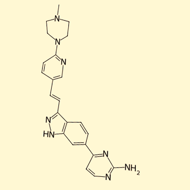 CN1CCN(c2ccc(C=Cc3n[nH]c4cc(-c5ccnc(N)n5)ccc34)cn2)CC1